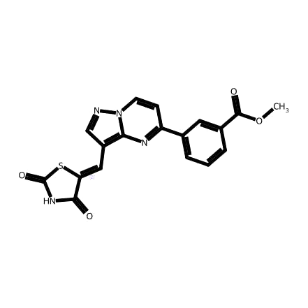 COC(=O)c1cccc(-c2ccn3ncc(/C=C4\SC(=O)NC4=O)c3n2)c1